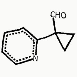 O=CC1(c2ccccn2)CC1